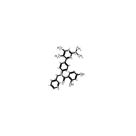 Cc1nc(N(C)C)nc(-c2ccc(N(Cc3cccnc3)C(=O)c3ccc(O)cc3O)cc2)c1C